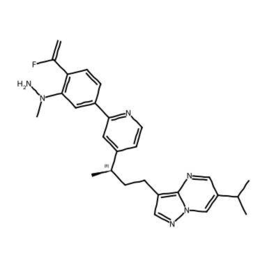 C=C(F)c1ccc(-c2cc([C@H](C)CCc3cnn4cc(C(C)C)cnc34)ccn2)cc1N(C)N